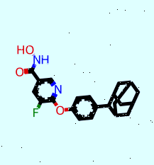 O=C(NO)c1cnc(Oc2ccc(C3C4CC5CC(C4)CC3C5)cc2)c(F)c1